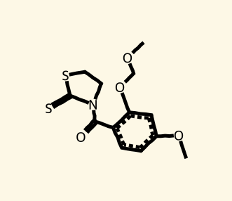 COCOc1cc(OC)ccc1C(=O)N1CCSC1=S